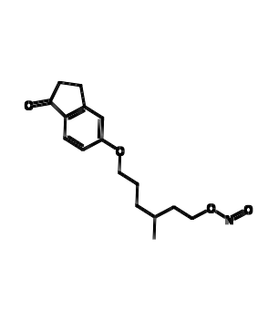 CC(CCCOc1ccc2c(c1)CCC2=O)CCON=O